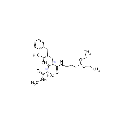 CCOC(CCCNC(=O)C(/C=C(\C)C(=O)NC)=C/C(Cc1ccccc1)=C(C)C)OCC